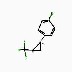 FC(F)(F)[C@@H]1C[C@H]1c1ccc(Br)cc1